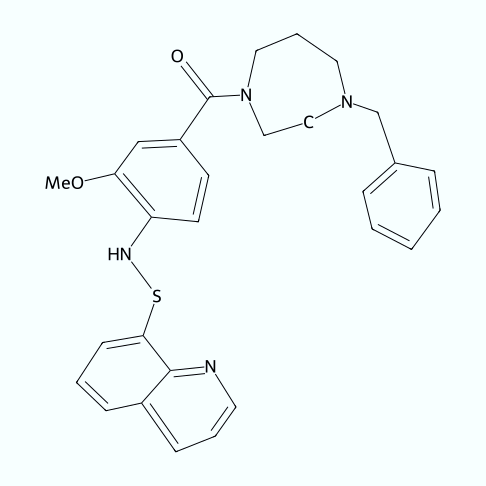 COc1cc(C(=O)N2CCCN(Cc3ccccc3)CC2)ccc1NSc1cccc2cccnc12